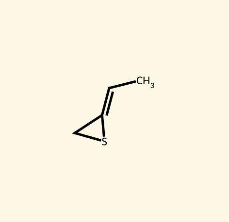 CC=C1CS1